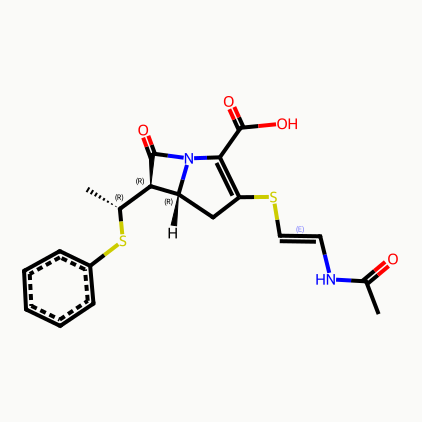 CC(=O)N/C=C/SC1=C(C(=O)O)N2C(=O)[C@H]([C@@H](C)Sc3ccccc3)[C@H]2C1